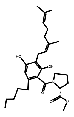 CCCCCc1cc(O)c(CC=C(C)CCC=C(C)C)c(O)c1C(=O)N1CCC[C@@H]1C(=O)OC